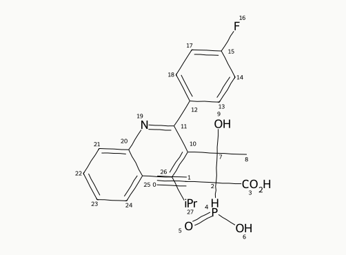 C#CC(C(=O)O)([PH](=O)O)C(C)(O)c1c(-c2ccc(F)cc2)nc2ccccc2c1C(C)C